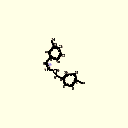 Cc1ccc(CO/N=[C]\c2cccc(C)c2)cc1